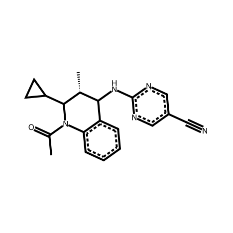 CC(=O)N1c2ccccc2C(Nc2ncc(C#N)cn2)[C@@H](C)C1C1CC1